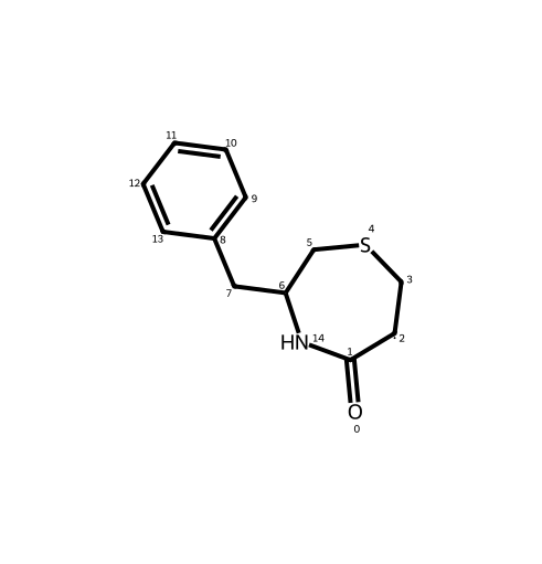 O=C1[CH]CSCC(Cc2ccccc2)N1